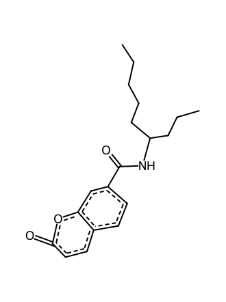 CCCCCC(CCC)NC(=O)c1ccc2ccc(=O)oc2c1